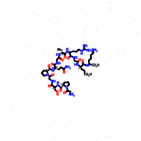 CC[C@H](C)[C@H](NC(=O)CNC(=O)[C@H](CCC(N)=O)NC(=O)[C@@H]1CCCN1C(=O)CNC(=O)[C@H](CO)NC(=O)[C@@H]1CCCN1C(=O)CN)C(=O)N[C@@H](CCCNC(=N)N)C(=O)NCC(=O)N[C@@H](CCC(=O)O)C(=O)N[C@@H](CCCCN)C(=O)O